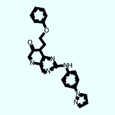 O=C1C=Nc2cnc(Nc3ccc(-n4cccn4)cc3)nc2C1CCOc1ccccc1